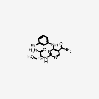 CCc1cccc(Nc2nc(N[C@H](CO)C(N)=O)ncc2C(N)=O)c1